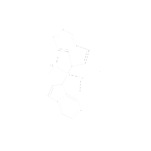 C[SiH](C)[Zr]([CH]1C=Cc2ccccc21)([CH]1C=Cc2ccccc21)[SiH](C)C.[Cl-].[Cl-]